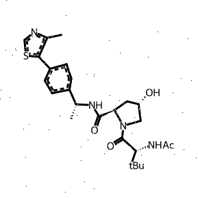 CC(=O)N[C@@H](C(=O)N1C[C@@H](O)C[C@@H]1C(=O)N[C@H](C)c1ccc(-c2scnc2C)cc1)C(C)(C)C